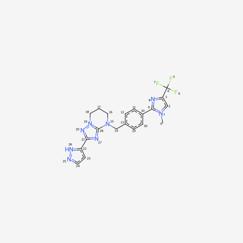 Cn1cc(C(F)(F)F)nc1-c1ccc(CN2CCCn3nc(-c4ccn[nH]4)nc32)cc1